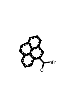 CCCC(O)c1cc2cccc3ccc4cccc1c4c32